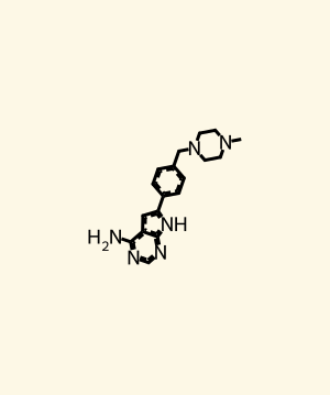 CN1CCN(Cc2ccc(-c3cc4c(N)ncnc4[nH]3)cc2)CC1